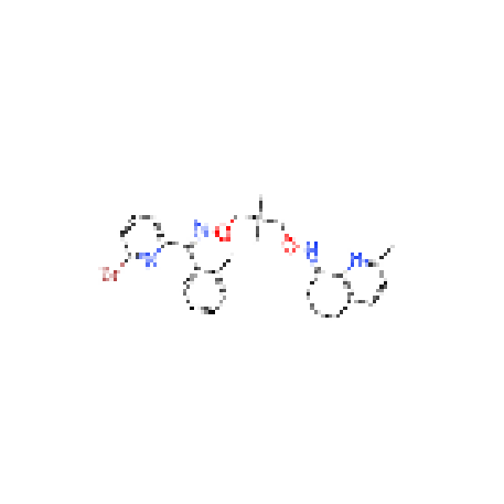 Cc1ccc2c(n1)/C(=N/OCC(C)(C)CO/N=C(/c1cccc(Br)n1)c1ccccc1C)CCC2